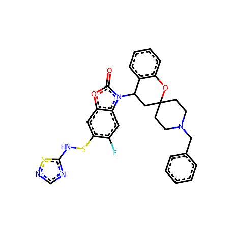 O=c1oc2cc(SNc3ncns3)c(F)cc2n1C1CC2(CCN(Cc3ccccc3)CC2)Oc2ccccc21